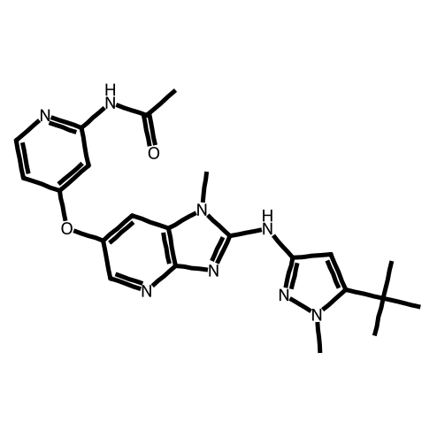 CC(=O)Nc1cc(Oc2cnc3nc(Nc4cc(C(C)(C)C)n(C)n4)n(C)c3c2)ccn1